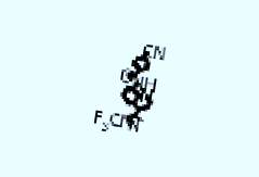 N#Cc1ccc(C(=O)Nc2cccc3c(-c4cnn(CC(F)(F)F)c4)ccnc23)cc1